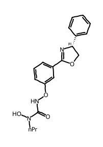 CCCN(O)C(=O)NOc1cccc(C2=N[C@H](c3ccccc3)CO2)c1